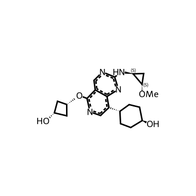 CO[C@H]1C[C@@H]1Nc1ncc2c(O[C@H]3C[C@@H](O)C3)ncc([C@H]3CC[C@H](O)CC3)c2n1